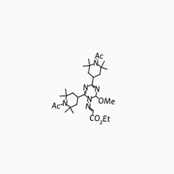 CCOC(=O)C=NN1C(C2CC(C)(C)N(C(C)=O)C(C)(C)C2)=NC(C2CC(C)(C)N(C(C)=O)C(C)(C)C2)=NC1OC